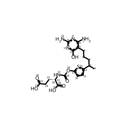 CC(CCCc1c(N)nc(N)nc1O)c1ccc(OC(=O)N[C@@H](CCC(=O)O)C(=O)O)s1